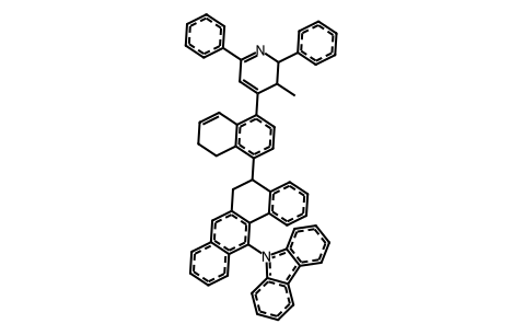 CC1C(c2ccc(C3Cc4cc5ccccc5c(-n5c6ccccc6c6ccccc65)c4-c4ccccc43)c3c2C=CCC3)=CC(c2ccccc2)=NC1c1ccccc1